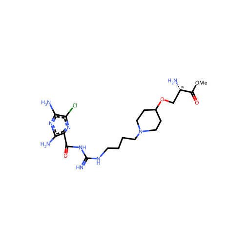 COC(=O)[C@@H](N)COC1CCN(CCCCNC(=N)NC(=O)c2nc(Cl)c(N)nc2N)CC1